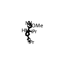 COc1cc(-c2[nH]c3ccc(C4CN(C(C)C)C4)cc3c2C(C)C)cn2ncnc12